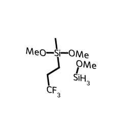 CO[SiH3].CO[Si](C)(CCC(F)(F)F)OC